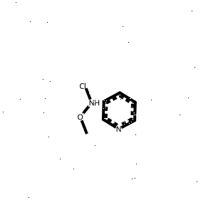 CONCl.c1ccncc1